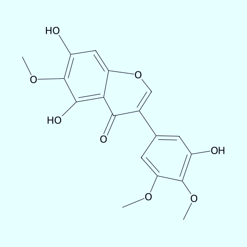 COc1cc(-c2coc3cc(O)c(OC)c(O)c3c2=O)cc(O)c1OC